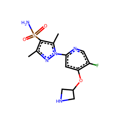 Cc1nn(-c2cc(OC3CNC3)c(F)cn2)c(C)c1S(N)(=O)=O